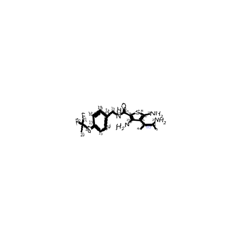 C/C(N)=C(\C)c1c(N)sc(C(=O)NCc2ccc(SC(C)(F)F)cc2)c1N